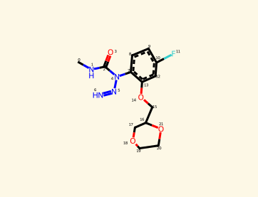 CNC(=O)N(N=N)c1ccc(F)cc1OCC1COCCO1